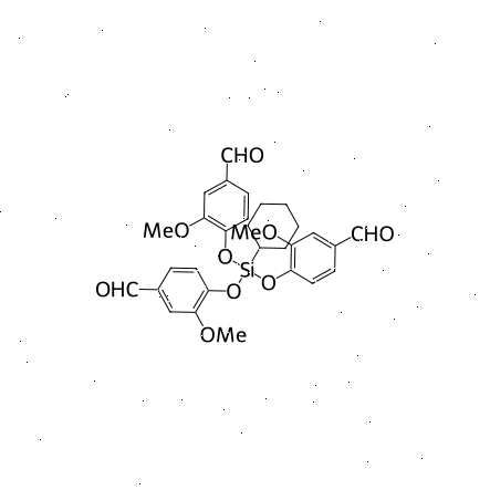 COc1cc(C=O)ccc1O[Si](Oc1ccc(C=O)cc1OC)(Oc1ccc(C=O)cc1OC)C1CCCCC1